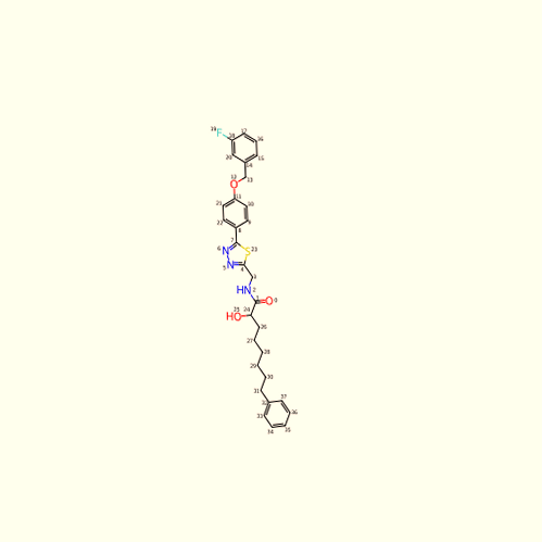 O=C(NCc1nnc(-c2ccc(OCc3cccc(F)c3)cc2)s1)C(O)CCCCCCc1ccccc1